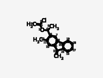 C=C(Cl)OC(C)c1cc2c(cc1C)C(=C)c1ccccc1-2